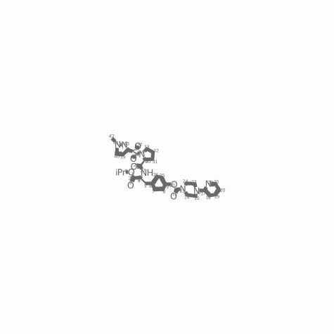 CC(C)OC(=O)[C@H](Cc1ccc(OC(=O)N2CCN(c3ccccn3)CC2)cc1)NC(=O)[C@@H]1CCCN1S(=O)(=O)c1ccn(C)n1